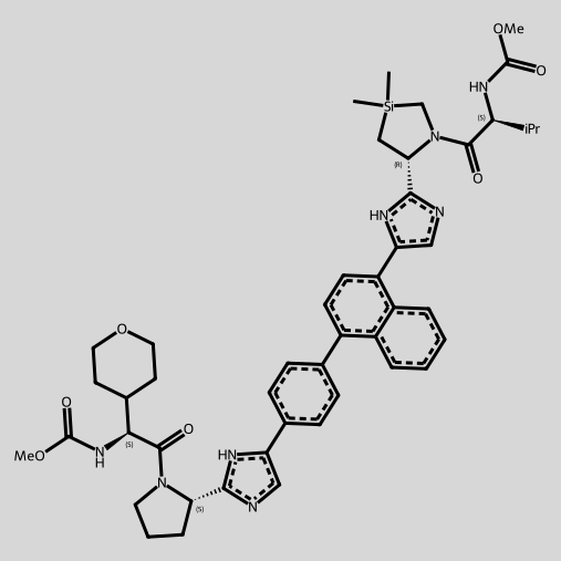 COC(=O)N[C@H](C(=O)N1C[Si](C)(C)C[C@H]1c1ncc(-c2ccc(-c3ccc(-c4cnc([C@@H]5CCCN5C(=O)[C@@H](NC(=O)OC)C5CCOCC5)[nH]4)cc3)c3ccccc23)[nH]1)C(C)C